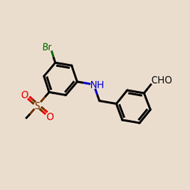 CS(=O)(=O)c1cc(Br)cc(NCc2cccc(C=O)c2)c1